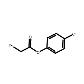 CC(C)CC(=O)Oc1ccc(Cl)cc1